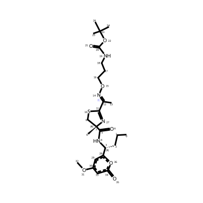 CCC[C@@H](NC(=O)[C@]1(C)CSC(/C(C)=N/OCCCNC(=O)OC(C)(C)C)=N1)c1cc(OC)cc(=O)o1